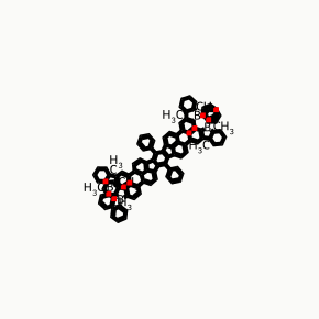 CC12CCCCC1(C)c1cc(-c3ccc4c5c(-c6ccccc6)c6c7ccc(-c8ccc9c(c8)C8(C)CCCCC8(C)B9c8ccccc8)c8c(-c9ccc%10c(c9)C9(C)CCCCC9(C)B%10c9ccccc9)ccc(c6c(-c6ccccc6)c5c5ccc(-c6ccc9c(c6)C6(C)CCCCC6(C)B9c6ccccc6)c3c45)c87)ccc1B2c1ccccc1